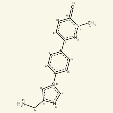 Cn1nc(-c2ccc(-n3cnc(CN)c3)cc2)ccc1=O